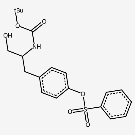 CC(C)(C)OC(=O)NC(CO)Cc1ccc(OS(=O)(=O)c2ccccc2)cc1